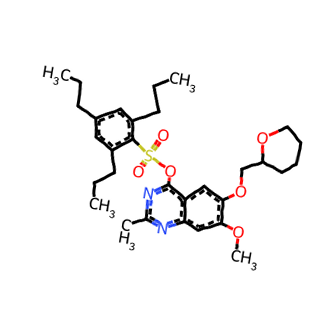 CCCc1cc(CCC)c(S(=O)(=O)Oc2nc(C)nc3cc(OC)c(OCC4CCCCO4)cc23)c(CCC)c1